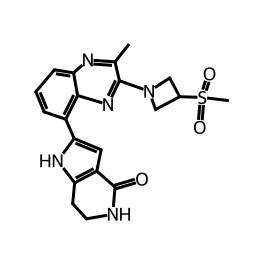 Cc1nc2cccc(-c3cc4c([nH]3)CCNC4=O)c2nc1N1CC(S(C)(=O)=O)C1